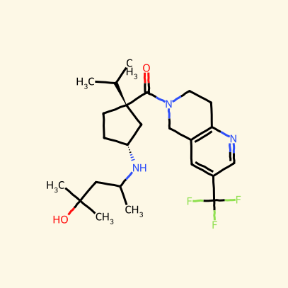 CC(CC(C)(C)O)N[C@@H]1CC[C@@](C(=O)N2CCc3ncc(C(F)(F)F)cc3C2)(C(C)C)C1